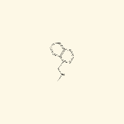 CPCc1cccc2ccccc12